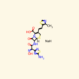 Cc1ncsc1/C=C/C1=C(C(=O)O)N2C(=O)C(NC(=O)/C(=N/O)c3nsc(N)n3)[C@H]2SC1.[NaH]